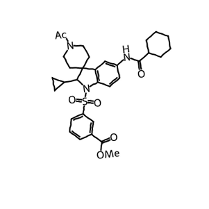 COC(=O)c1cccc(S(=O)(=O)N2c3ccc(NC(=O)C4CCCCC4)cc3C3(CCN(C(C)=O)CC3)C2C2CC2)c1